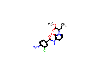 CCC(C(=O)OC)n1cccc(NC(=O)c2ccc(N)c(Cl)c2)c1=O